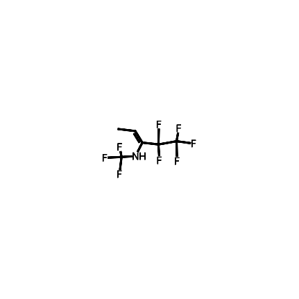 CC=C(NC(F)(F)F)C(F)(F)C(F)(F)F